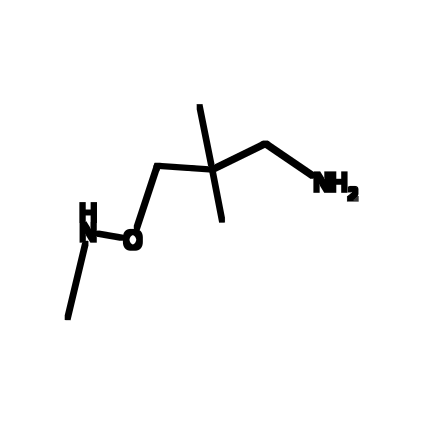 CNOCC(C)(C)CN